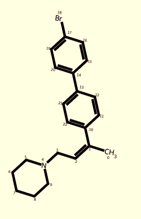 CC(=CCN1CCCCC1)c1ccc(-c2ccc(Br)cc2)cc1